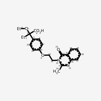 CCOC(CC)(C(=O)O)c1ccc(OCCn2c(C)nc3ccccc3c2=O)cc1